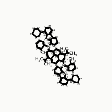 Cc1ccccc1N(c1cc(C(C)C)c2ccc3c(N(c4ccccc4C)c4cccc5c4oc4c(C6CCCCC6)cccc45)cc(C(C)C)c4ccc1c2c43)c1cccc2c1oc1c(C3CCCCC3)cccc12